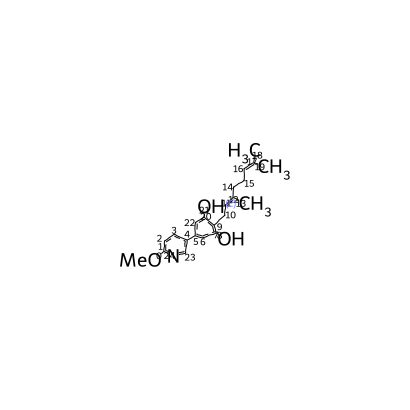 COc1ccc(-c2cc(O)c(C/C=C(\C)CCC=C(C)C)c(O)c2)cn1